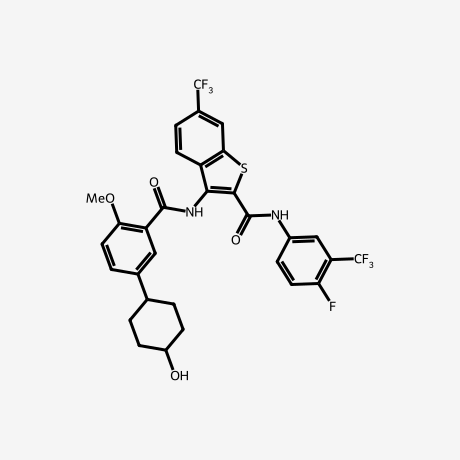 COc1ccc(C2CCC(O)CC2)cc1C(=O)Nc1c(C(=O)Nc2ccc(F)c(C(F)(F)F)c2)sc2cc(C(F)(F)F)ccc12